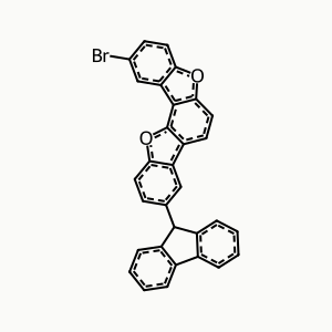 Brc1ccc2oc3ccc4c5cc(C6c7ccccc7-c7ccccc76)ccc5oc4c3c2c1